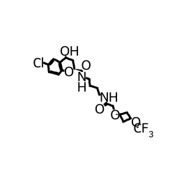 O=C(CO[C@H]1C[C@@H](OC(F)(F)F)C1)NCCCCNC(=O)[C@@H]1C[C@@H](O)c2cc(Cl)ccc2O1